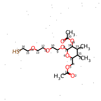 CC(=O)OCC1OC(OCCOCCOCCS)C(OC(C)=O)C(C)C1C